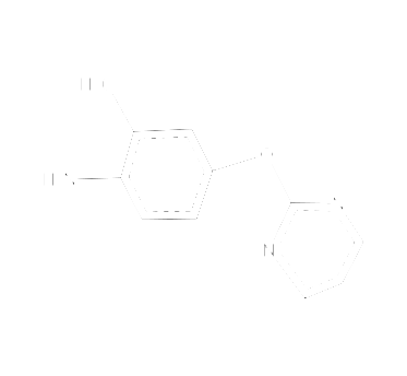 Cc1cc(Oc2ncccn2)ccc1N